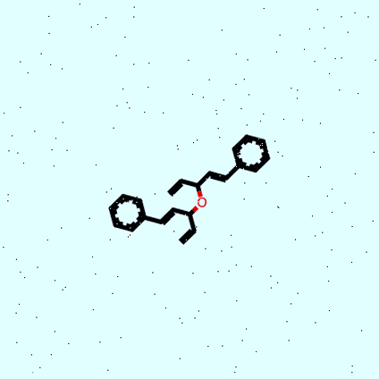 C=CC(C=Cc1ccccc1)OC(C=C)C=Cc1ccccc1